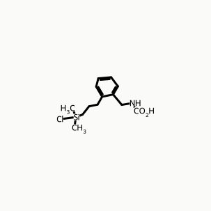 C[Si](C)(Cl)CCCc1ccccc1CNC(=O)O